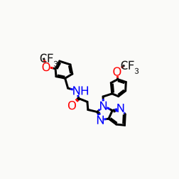 O=C(CCc1nc2cccnc2n1Cc1cccc(OC(F)(F)F)c1)NCc1cccc(OC(F)(F)F)c1